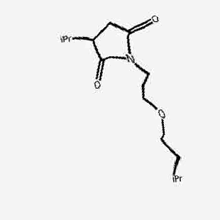 CC(C)CCOCCN1C(=O)CC(C(C)C)C1=O